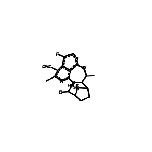 Cc1nc2c3c(ncc(F)c3c1C=O)OC(C)C1C3CCC(C(Cl)N21)N3C(=O)O